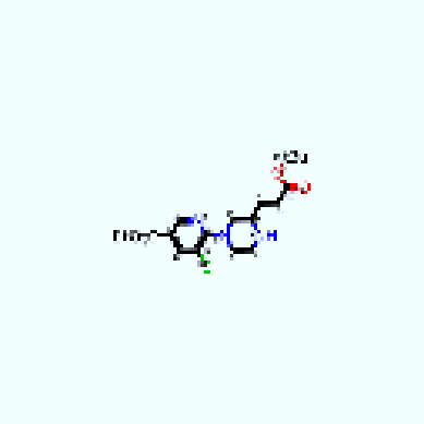 CCOC(=O)c1cnc(N2CCNC(CCC(=O)OC(C)(C)C)C2)c(Cl)c1